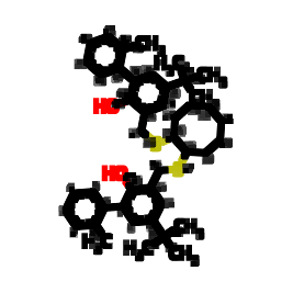 Cc1ccccc1-c1cc(C(C)(C)C)cc(CSC2CCCCCC[C@@H]2SCc2cc(C(C)(C)C)cc(-c3ccccc3C)c2O)c1O